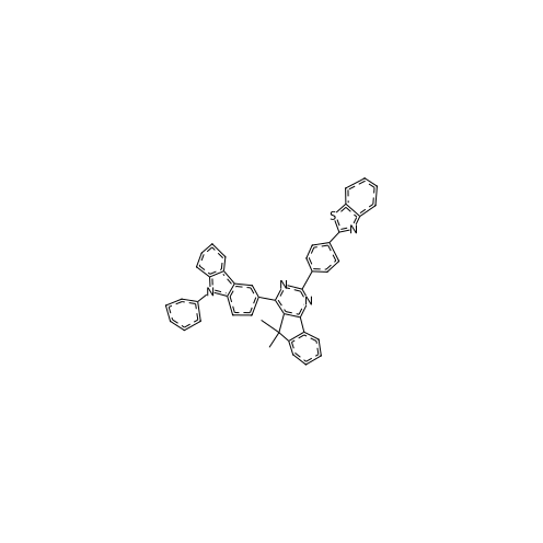 CC1(C)c2ccccc2-c2nc(-c3ccc(-c4nc5ccccc5s4)cc3)nc(-c3ccc4c(c3)c3ccccc3n4-c3ccccc3)c21